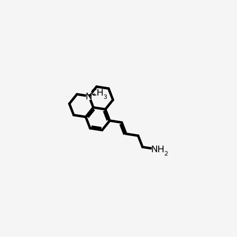 C[N+]12CCCc3ccc(/C=C/CCN)c(c31)CCC2